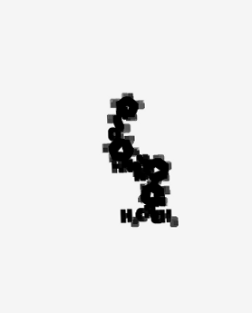 CN(C)c1ccc(-c2cccc3nc(Nc4ccc(OCCN5CCCC5)cc4)nn23)cn1